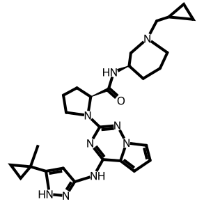 CC1(c2cc(Nc3nc(N4CCC[C@H]4C(=O)N[C@@H]4CCCN(CC5CC5)C4)nn4cccc34)n[nH]2)CC1